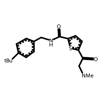 CNCC(=O)c1ccc(C(=O)NCc2ccc(C(C)(C)C)cc2)s1